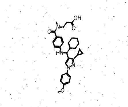 COc1ccc(-n2cc(C(Nc3ccc(C(=O)N(C)CCC(=O)O)cc3)C3CCCCC3)c(C3CC3)n2)cc1